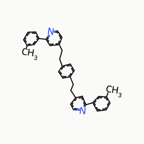 Cc1cccc(-c2cc(CCc3ccc(CCc4ccnc(-c5cccc(C)c5)c4)cc3)ccn2)c1